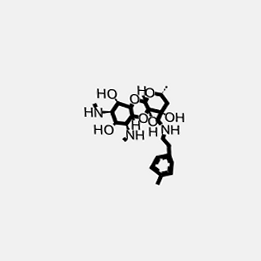 CN[C@@H]1[C@H](O)[C@H](NC)[C@H]2O[C@]3(O)[C@H](OC2[C@H]1O)O[C@H](C)C[C@@]3(O)CNCCc1ccc(C)cc1